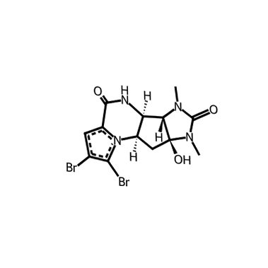 CN1C(=O)N(C)[C@]2(O)C[C@@H]3[C@@H](NC(=O)c4cc(Br)c(Br)n43)[C@H]12